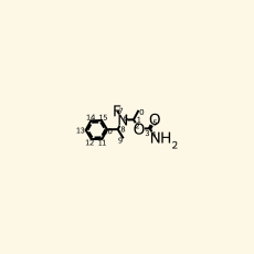 CC(OC(N)=O)N(F)C(C)c1ccccc1